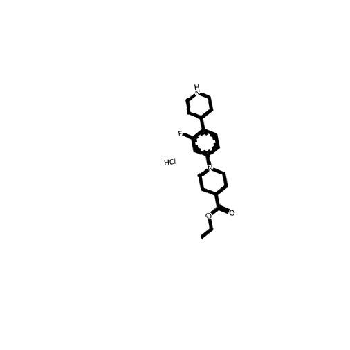 CCOC(=O)C1CCN(c2ccc(C3CCNCC3)c(F)c2)CC1.Cl